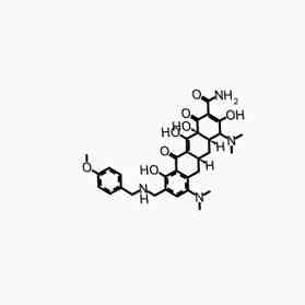 COc1ccc(CNCc2cc(N(C)C)c3c(c2O)C(=O)C2=C(O)[C@]4(O)C(=O)C(C(N)=O)=C(O)C(N(C)C)[C@@H]4C[C@@H]2C3)cc1